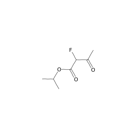 CC(=O)C(F)C(=O)OC(C)C